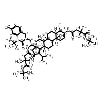 CC(C)C1=C2[C@H]3CC[C@@H]4[C@@]5(C)CC[C@H](OC(=O)CC(C)(C)C(=O)OC(C)(C)C)[C@H](C)[C@@H]5CC[C@@]4(C)[C@]3(C)CC[C@@]2([C@H](CN(Cc2ccc(Cl)cc2)C(=O)OC(C)(C)C)OC(=O)CC(C)(C)C(=O)OC(C)(C)C)CC1=O